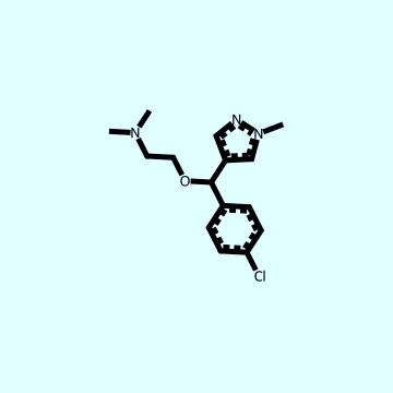 CN(C)CCOC(c1ccc(Cl)cc1)c1cnn(C)c1